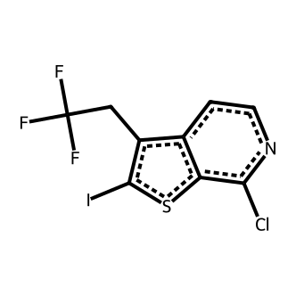 FC(F)(F)Cc1c(I)sc2c(Cl)nccc12